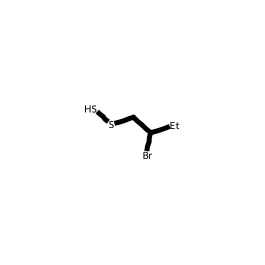 CCC(Br)CSS